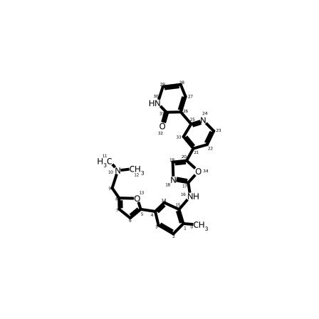 Cc1ccc(-c2ccc(CN(C)C)o2)cc1Nc1ncc(-c2ccnc(-c3ccc[nH]c3=O)c2)o1